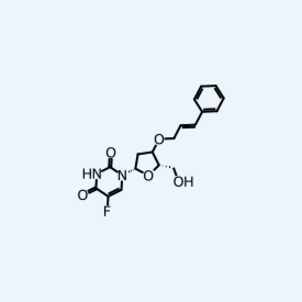 O=c1[nH]c(=O)n([C@@H]2CC(OC/C=C/c3ccccc3)[C@H](CO)O2)cc1F